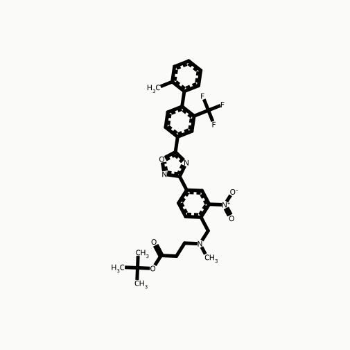 Cc1ccccc1-c1ccc(-c2nc(-c3ccc(CN(C)CCC(=O)OC(C)(C)C)c([N+](=O)[O-])c3)no2)cc1C(F)(F)F